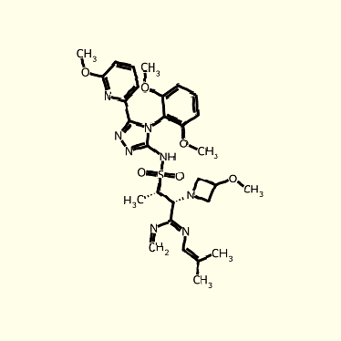 C=N/C(=N\C=C(C)C)[C@H]([C@H](C)S(=O)(=O)Nc1nnc(-c2cccc(OC)n2)n1-c1c(OC)cccc1OC)N1CC(OC)C1